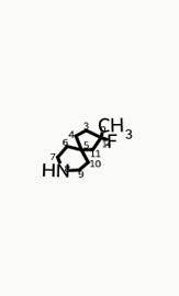 CC1(F)CCC2(CCNCC2)C1